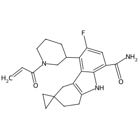 C=CC(=O)N1CCCC(c2c(F)cc(C(N)=O)c3[nH]c4c(c23)CC2(CC4)CC2)C1